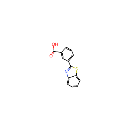 O=C(O)c1cccc(-c2nc3ccccc3s2)c1